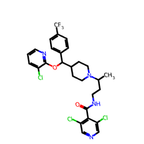 CC(CCNC(=O)c1c(Cl)cncc1Cl)N1CCC(C(Oc2ncccc2Cl)c2ccc(C(F)(F)F)cc2)CC1